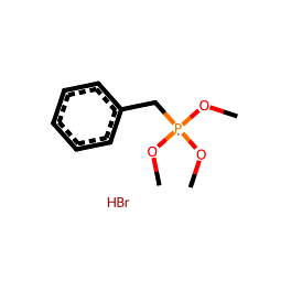 Br.CO[P](Cc1ccccc1)(OC)OC